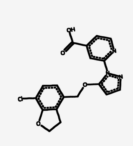 O=C(O)c1ccnc(-n2nccc2OCc2ccc(Cl)c3c2CCO3)c1